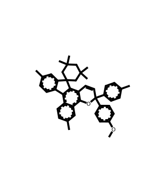 COc1ccc(C2(c3ccc(C)cc3)C=Cc3c4c(c5ccc(C)cc5c3O2)-c2ccc(C)cc2C42CC(C)(C)CC(C)(C)C2)cc1